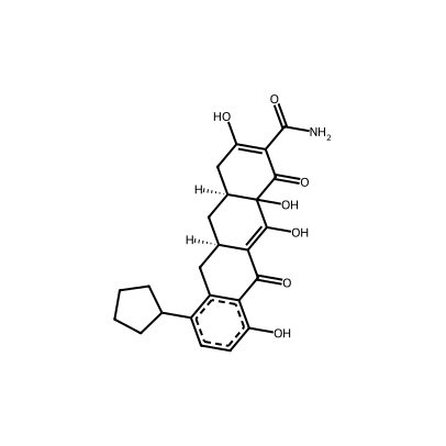 NC(=O)C1=C(O)C[C@@H]2C[C@@H]3Cc4c(C5CCCC5)ccc(O)c4C(=O)C3=C(O)C2(O)C1=O